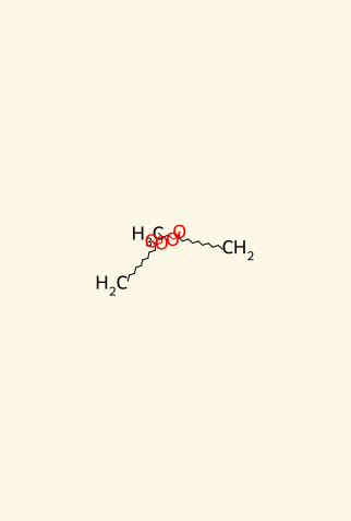 C=CCCCCCCCCC(=O)OCC(C)OC(=O)CCCCCCCCC=C